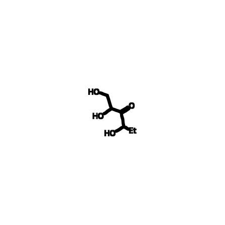 CC[C](O)C(=O)C(O)CO